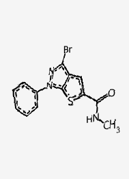 CNC(=O)c1cc2c(Br)nn(-c3ccccc3)c2s1